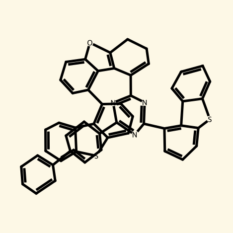 C1=C(c2nc(-c3ccc(-c4ccccc4)cc3)nc(-c3cccc4sc5ccccc5c34)n2)c2c(oc3cccc(-c4cccc5sc6ccccc6c45)c23)CC1